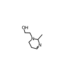 CC1N=CCCN1CCO